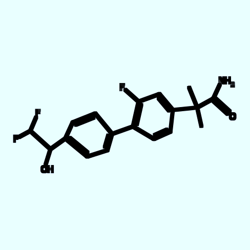 CC(C)(C(N)=O)c1ccc(-c2ccc(C(O)C(F)F)cc2)c(F)c1